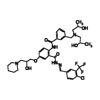 CC(O)CN(Cc1cccc(C(=O)Nc2ccc(OCC(O)CN3CCCCC3)cc2C(=O)N/N=C/c2ccc(Cl)c(C(F)(F)F)c2)c1)CC(C)O